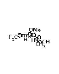 COc1cc(NCc2ccc(C(F)(F)F)cc2)nc2cc(C(=O)N[C@H](C)CCO)ccc12